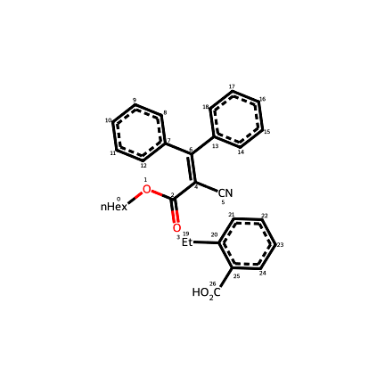 CCCCCCOC(=O)C(C#N)=C(c1ccccc1)c1ccccc1.CCc1ccccc1C(=O)O